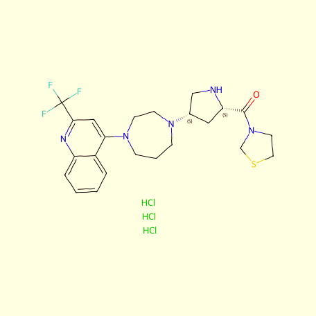 Cl.Cl.Cl.O=C([C@@H]1C[C@H](N2CCCN(c3cc(C(F)(F)F)nc4ccccc34)CC2)CN1)N1CCSC1